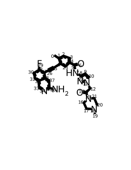 Cc1ccc(C(=O)Nc2ccn(CC(=O)N3CCN(C)CC3)n2)cc1C#Cc1c(F)ccc2cnc(N)cc12